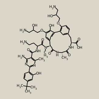 Cc1nc(-c2ccc(C(C)(C)C)cc2O)nc(N)c1C(=O)NC(CCN)C(=O)N(C)[C@@H]1C(=O)N[C@@H](C)C(=O)N[C@H](C(=O)O)Cc2ccc(OCC(O)CN)c(c2)-c2cc1cc(OCC(O)CN)c2O